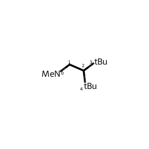 CNCC(C(C)(C)C)C(C)(C)C